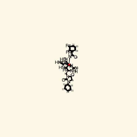 N=C1N[C@H]2[C@H](CN3C(=O)CN(c4ccccc4)C3=O)NC(=N)N3C[C@H](NC(=O)c4cccc(F)c4F)C(O)(O)[C@]23N1